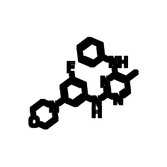 Cc1cnc(Nc2cc(F)cc(N3CCOCC3)c2)nc1Nc1ccccc1